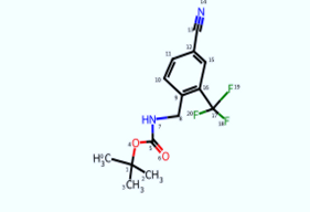 CC(C)(C)OC(=O)NCc1ccc(C#N)cc1C(F)(F)F